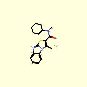 Cc1c(C(=O)N(C)C2CCCCC2)sc2nc3ccccc3n12.Cl